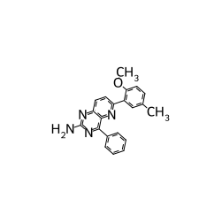 COc1ccc(C)cc1-c1ccc2nc(N)nc(-c3ccccc3)c2n1